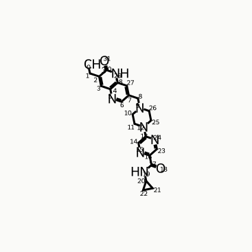 CCc1cc2ncc(CN3CCN(c4cnc(C(=O)NC5CC5)cn4)CC3)cc2[nH]c1=O